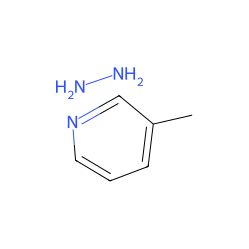 Cc1cccnc1.NN